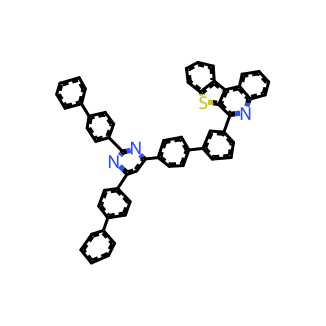 c1ccc(-c2ccc(-c3cc(-c4ccc(-c5cccc(-c6nc7ccccc7c7c6sc6ccccc67)c5)cc4)nc(-c4ccc(-c5ccccc5)cc4)n3)cc2)cc1